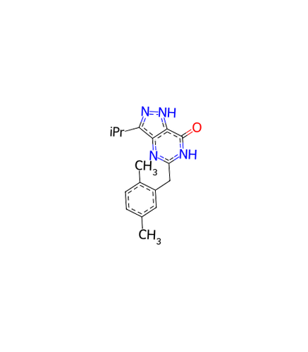 Cc1ccc(C)c(Cc2nc3c(C(C)C)n[nH]c3c(=O)[nH]2)c1